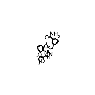 COc1cccc(OC)c1-n1c(SCc2cccc(C(N)=O)c2)nnc1-c1ccc(C)o1